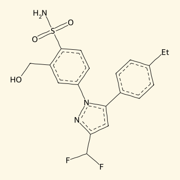 CCc1ccc(-c2cc(C(F)F)nn2-c2ccc(S(N)(=O)=O)c(CO)c2)cc1